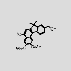 COc1cc2c(O)cc3c(c2cc1OC)-c1ccc(CO)cc1C3(C)C